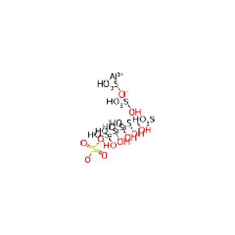 O=S(=O)(O)O.O=S(=O)(O)O.O=S(=O)(O)O.O=S(=O)(O)O.O=S(=O)(O)O.O=S(=O)(O)O.O=S(=O)([O-])O.O=S(=O)([O-])[O-].[Al+3]